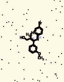 COc1cccc(C(/N=c2/ccc(Br)c[nH]2)=C(/C)CO)c1